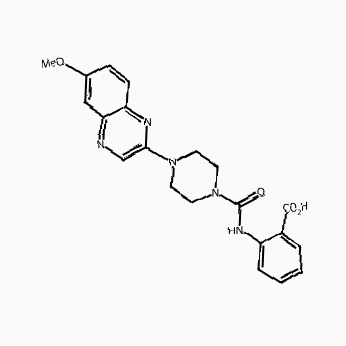 COc1ccc2nc(N3CCN(C(=O)Nc4ccccc4C(=O)O)CC3)cnc2c1